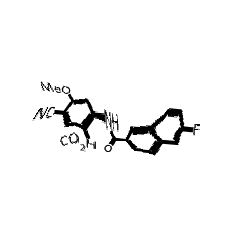 COc1cc(NC(=O)c2ccc3cc(F)ccc3c2)c(C(=O)O)cc1C#N